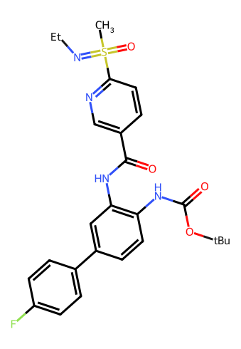 CCN=S(C)(=O)c1ccc(C(=O)Nc2cc(-c3ccc(F)cc3)ccc2NC(=O)OC(C)(C)C)cn1